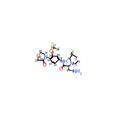 CCN(CC(C)C)[C@@H](CN)C(=O)Nc1ccc(N2CCOCC2=O)c(OC(F)F)c1